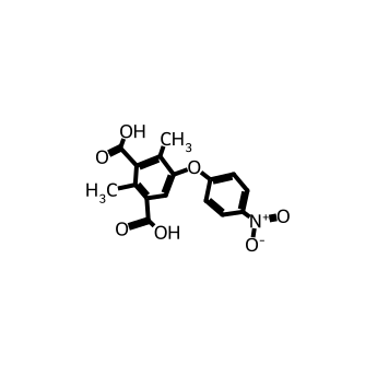 Cc1c(Oc2ccc([N+](=O)[O-])cc2)cc(C(=O)O)c(C)c1C(=O)O